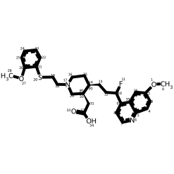 COc1ccc2nccc(C(F)CC[C@@H]3CCN(CCSc4ccccc4OC)C[C@@H]3CC(=O)O)c2c1